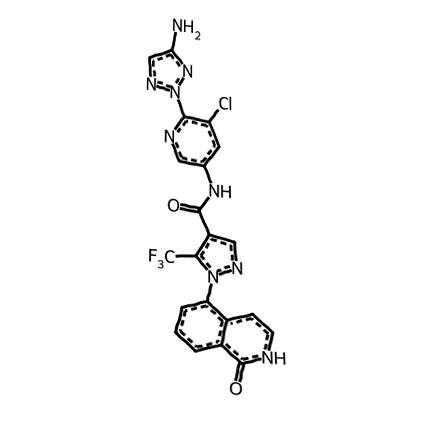 Nc1cnn(-c2ncc(NC(=O)c3cnn(-c4cccc5c(=O)[nH]ccc45)c3C(F)(F)F)cc2Cl)n1